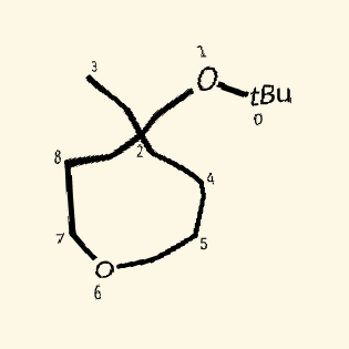 CC(C)(C)OC1(C)CCOCC1